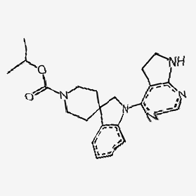 CC(C)OC(=O)N1CCC2(CC1)CN(c1ncnc3c1CCN3)c1ccccc12